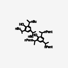 CCCCC(C)c1cc(C(C)CCCC)c(O)c(C(C)CCCC)c1.CCCCCC(C)c1cc(C(C)CCCCC)c(O)c(C(C)CCCCC)c1